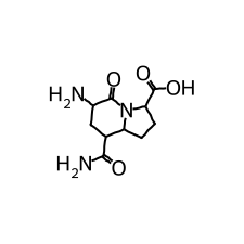 NC(=O)C1CC(N)C(=O)N2C(C(=O)O)CCC12